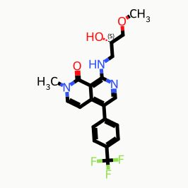 COC[C@@H](O)CNc1ncc(-c2ccc(C(F)(F)F)cc2)c2ccn(C)c(=O)c12